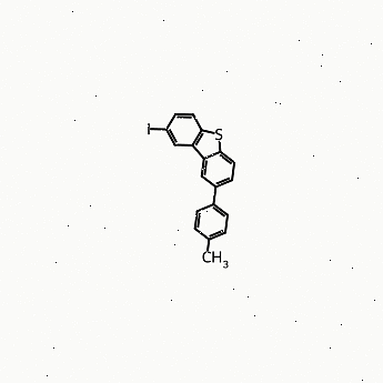 Cc1ccc(-c2ccc3sc4ccc(I)cc4c3c2)cc1